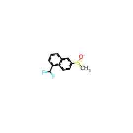 C[S+]([O-])c1ccc2c([C](F)F)cccc2c1